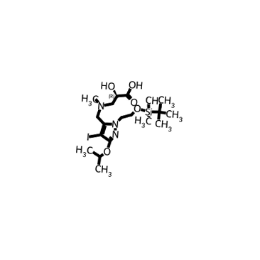 CC(C)Oc1nn(CCO[Si](C)(C)C(C)(C)C)c(CN(C)C[C@@H](O)C(=O)O)c1I